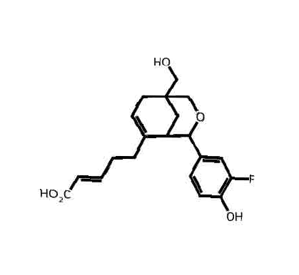 O=C(O)/C=C/CCC1=CCC2(CO)COC(c3ccc(O)c(F)c3)C1C2